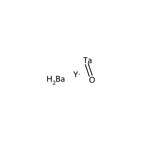 [BaH2].[O]=[Ta].[Y]